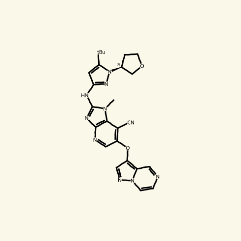 Cn1c(Nc2cc(C(C)(C)C)n([C@H]3CCOC3)n2)nc2ncc(Oc3cnn4ccncc34)c(C#N)c21